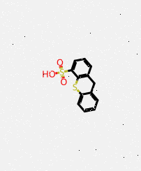 O=S(=O)(O)c1cccc2c1Sc1ccccc1C2